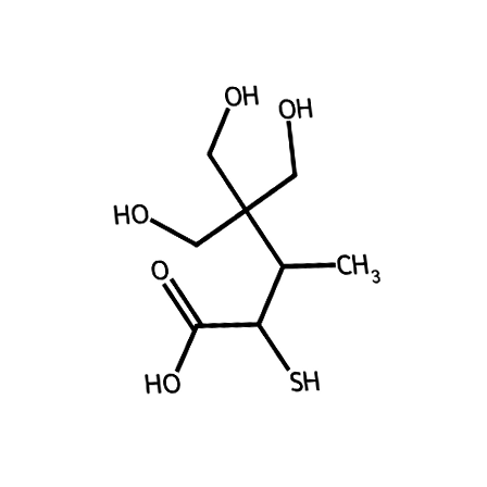 CC(C(S)C(=O)O)C(CO)(CO)CO